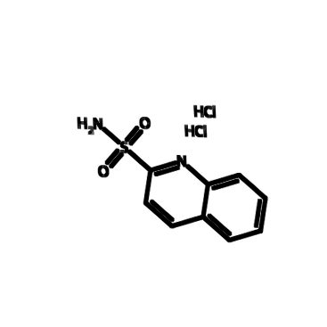 Cl.Cl.NS(=O)(=O)c1ccc2ccccc2n1